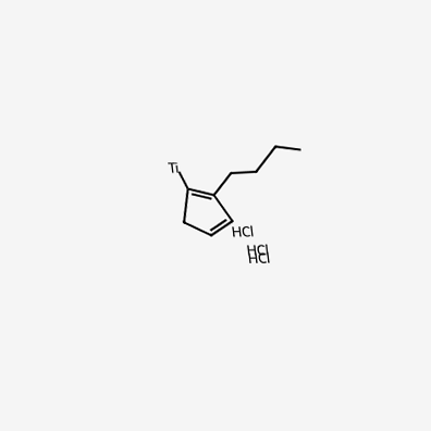 CCCCC1=[C]([Ti])CC=C1.Cl.Cl.Cl